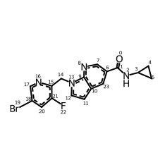 O=C(NC1CC1)c1cnc2c(ccn2Cc2ncc(Br)cc2F)c1